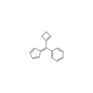 C1=CC(=C(C2=CCC2)c2ccccc2)C=C1